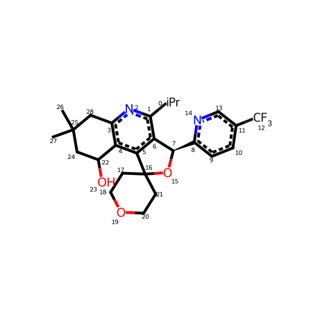 CC(C)c1nc2c(c3c1[C@@H](c1ccc(C(F)(F)F)cn1)OC31CCOCC1)C(O)CC(C)(C)C2